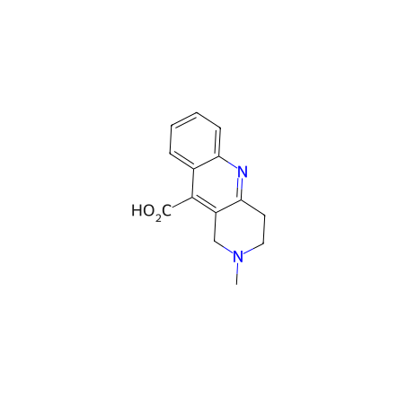 CN1CCc2nc3ccccc3c(C(=O)O)c2C1